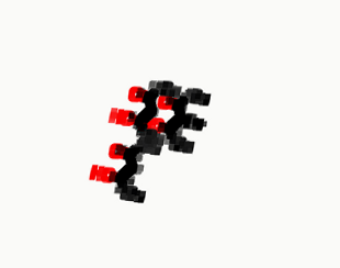 CC(C)(C)C(=O)/C=C(\O)C(C)(C)C.CC(C)(C)C(=O)/C=C(\O)C(C)(C)C.CC(C)(C)C(=O)/C=C(\O)C(C)(C)C.[Eu]